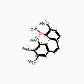 COc1ccc(/C=C\c2cc(OC)c(OC)c(OC)c2)cc1OC=O